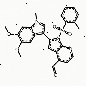 COc1cc2c(-c3cc4c(C=O)ccnc4n3S(=O)(=O)c3ccccc3C)cn(C)c2cc1OC